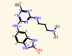 CCN(CC)CCCNc1nc(Nc2ccc3c(c2)NC(O)N3)nc(C(C)(C)C)n1